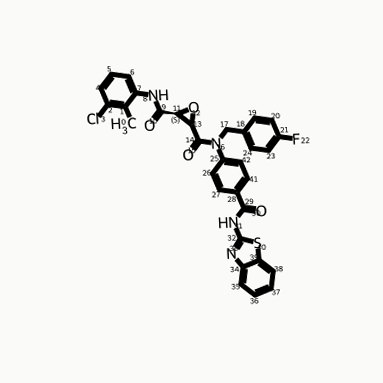 Cc1c(Cl)cccc1NC(=O)[C@H]1OC1C(=O)N(Cc1ccc(F)cc1)c1ccc(C(=O)Nc2nc3ccccc3s2)cc1